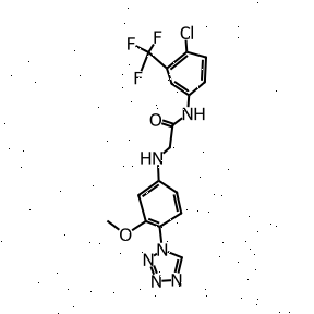 COc1cc(NCC(=O)Nc2ccc(Cl)c(C(F)(F)F)c2)ccc1-n1cnnn1